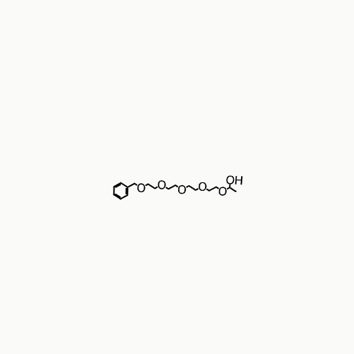 CC(O)OCCOCCOCCOCCOCc1ccccc1